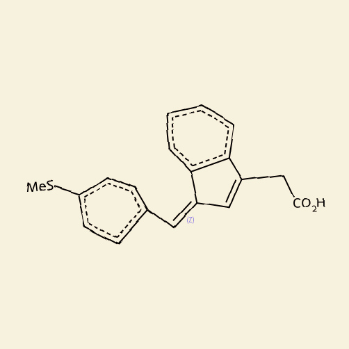 CSc1ccc(/C=C2/C=C(CC(=O)O)c3ccccc32)cc1